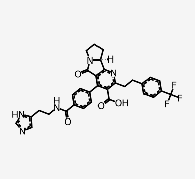 O=C(NCCc1cnc[nH]1)c1ccc(-c2c(C(=O)O)c(CCc3ccc(C(F)(F)F)cc3)nc3c2C(=O)N2CCC[C@@H]32)cc1